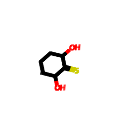 OC1[C]CCC(O)C1=S